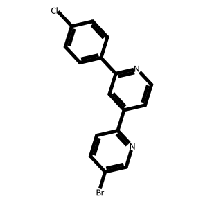 Clc1ccc(-c2cc(-c3ccc(Br)cn3)ccn2)cc1